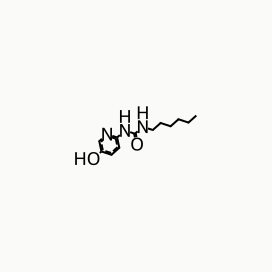 CCCCCCNC(=O)Nc1ccc(O)cn1